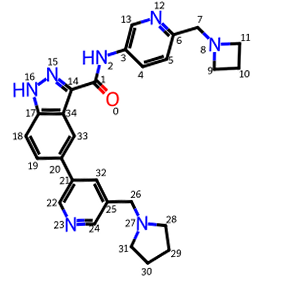 O=C(Nc1ccc(CN2CCC2)nc1)c1n[nH]c2ccc(-c3cncc(CN4CCCC4)c3)cc12